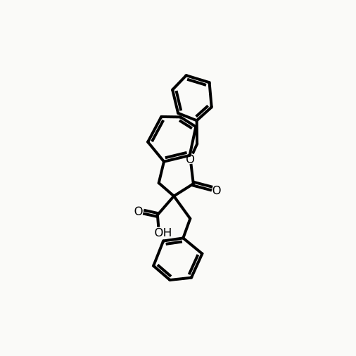 O=C(O)C(Cc1ccccc1)(Cc1ccccc1)C(=O)OCc1ccccc1